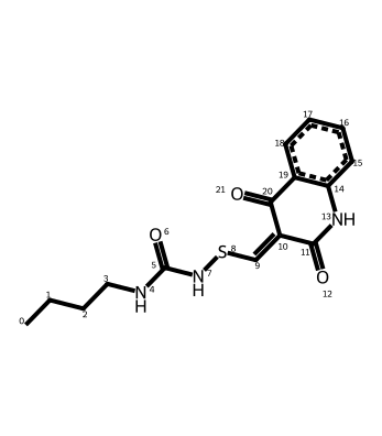 CCCCNC(=O)NS/C=C1/C(=O)Nc2ccccc2C1=O